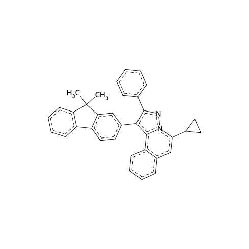 CC1(C)c2ccccc2-c2ccc(-c3c(-c4ccccc4)nn4c(C5CC5)cc5ccccc5c34)cc21